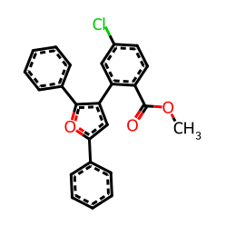 COC(=O)c1ccc(Cl)cc1-c1cc(-c2ccccc2)oc1-c1ccccc1